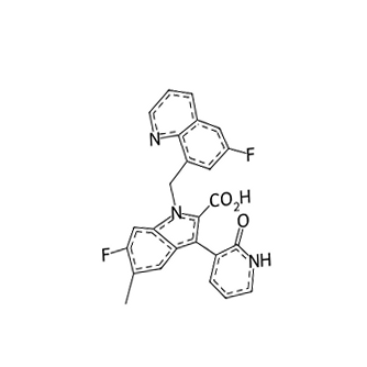 Cc1cc2c(-c3ccc[nH]c3=O)c(C(=O)O)n(Cc3cc(F)cc4cccnc34)c2cc1F